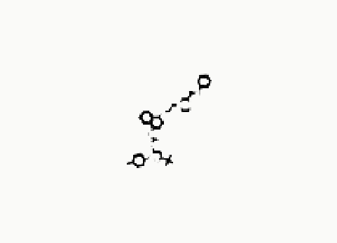 Cc1ccc(-n2nc(C(C)(C)C)cc2NC(=O)Nc2ccc(OCCN3CCOC(C(=O)Nc4ccccc4)C3)c3ccccc23)cc1